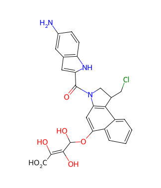 Nc1ccc2[nH]c(C(=O)N3CC(CCl)c4c3cc(OC(O)/C(O)=C(\O)C(=O)O)c3ccccc43)cc2c1